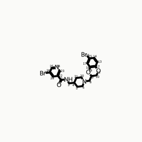 O=C(NCC1CCN(CC2COc3ccc(Br)cc3O2)CC1)c1cncc(Br)c1